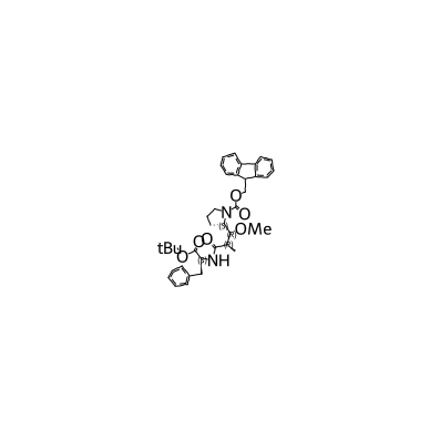 CO[C@H]([C@@H](C)C(=O)N[C@@H](Cc1ccccc1)C(=O)OC(C)(C)C)[C@@H]1CCCN1C(=O)OCC1c2ccccc2-c2ccccc21